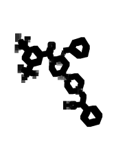 O=C(c1cc(C(F)(F)F)cc(C(F)(F)F)c1)N1CC[C@@H](N2CCN(CC(O)c3ccccc3)CC2)C[C@H]1Cc1ccccc1